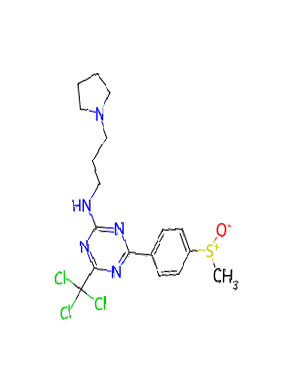 C[S+]([O-])c1ccc(-c2nc(NCCCN3CCCC3)nc(C(Cl)(Cl)Cl)n2)cc1